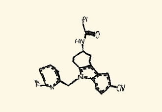 CC(C)C(=O)N[C@H]1Cc2c(n(Cc3cccc(F)n3)c3ccc(C#N)cc23)C1